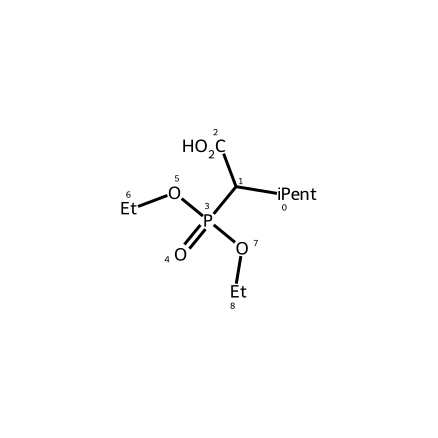 CCCC(C)C(C(=O)O)P(=O)(OCC)OCC